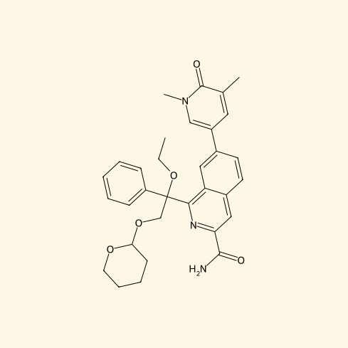 CCOC(COC1CCCCO1)(c1ccccc1)c1nc(C(N)=O)cc2ccc(-c3cc(C)c(=O)n(C)c3)cc12